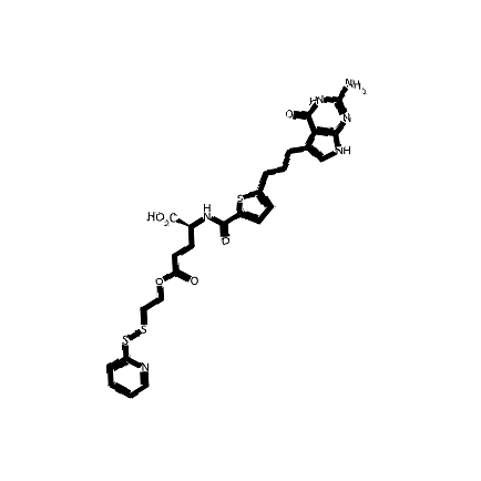 Nc1nc2[nH]cc(CCCc3ccc(C(=O)N[C@@H](CCC(=O)OCCSSc4ccccn4)C(=O)O)s3)c2c(=O)[nH]1